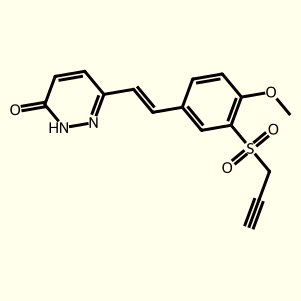 C#CCS(=O)(=O)c1cc(C=Cc2ccc(=O)[nH]n2)ccc1OC